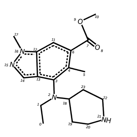 CCN(c1c(C)c(C(=O)OC)cc2c1cnn2C)C1CCNCC1